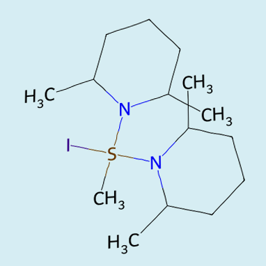 CC1CCCC(C)N1S(C)(I)N1C(C)CCCC1C